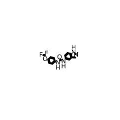 O=C(Nc1ccc(OC(F)F)cc1)Nc1ccc2[nH]ncc2c1